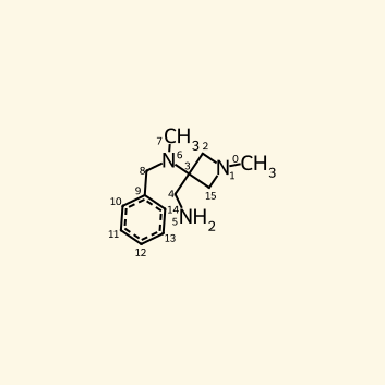 CN1CC(CN)(N(C)Cc2ccccc2)C1